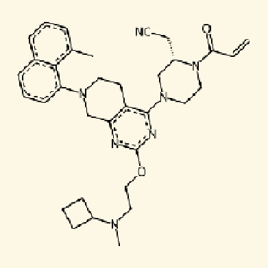 C=CC(=O)N1CCN(c2nc(OCCN(C)C3CCC3)nc3c2CCN(c2cccc4cccc(C)c24)C3)C[C@@H]1CC#N